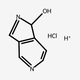 Cl.OC1N=Cc2cnccc21.[H+]